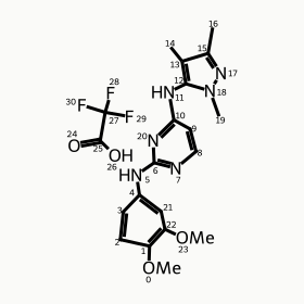 COc1ccc(Nc2nccc(Nc3c(C)c(C)nn3C)n2)cc1OC.O=C(O)C(F)(F)F